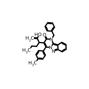 C=C(O)C(CCC)c1c(-c2ccc(C)cc2)n2nc3ccccc3c2n(Cc2ccccc2)c1=O